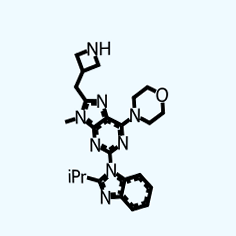 CC(C)c1nc2ccccc2n1-c1nc(N2CCOCC2)c2nc(CC3CNC3)n(C)c2n1